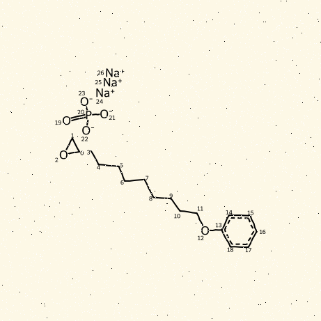 C1CO1.CCCCCCCCCOc1ccccc1.O=P([O-])([O-])[O-].[Na+].[Na+].[Na+]